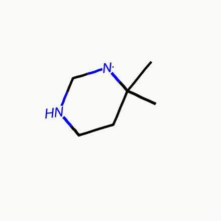 CC1(C)CCNC[N]1